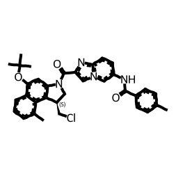 Cc1ccc(C(=O)Nc2ccc3nc(C(=O)N4C[C@@H](CCl)c5c4cc(OC(C)(C)C)c4cccc(C)c54)cn3c2)cc1